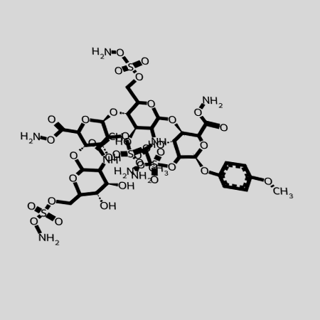 COc1ccc(O[C@@H]2OC(C(=O)ON)[C@H](OC3OC(COS(=O)(=O)ON)[C@@H](O[C@@H]4OC(C(=O)ON)[C@@H](OC5OC(COS(=O)(=O)ON)[C@@H](O)[C@H](O)C5NC(C)=O)[C@@H](O)C4OS(=O)(=O)ON)[C@H](O)C3NC(C)=O)[C@@H](O)C2OS(=O)(=O)ON)cc1